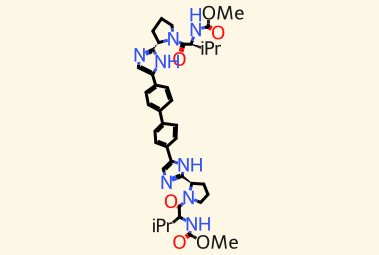 COC(=O)NC(C(=O)N1CCC[C@@H]1c1ncc(-c2ccc(-c3ccc(-c4cnc([C@@H]5CCCN5C(=O)[C@@H](NC(=O)OC)C(C)C)[nH]4)cc3)cc2)[nH]1)C(C)C